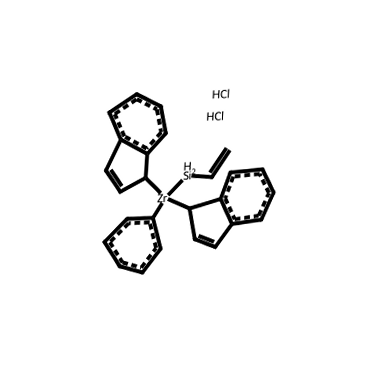 C=C[SiH2][Zr]([c]1ccccc1)([CH]1C=Cc2ccccc21)[CH]1C=Cc2ccccc21.Cl.Cl